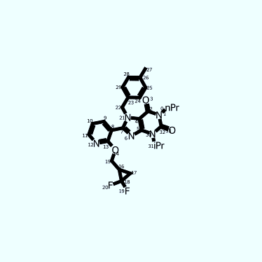 CCCn1c(=O)c2c(nc(-c3cccnc3OCC3CC3(F)F)n2Cc2ccc(C)cc2)n(C(C)C)c1=O